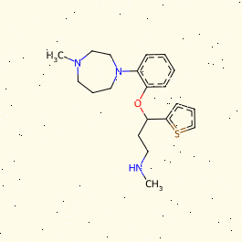 CNCCC(Oc1ccccc1N1CCCN(C)CC1)c1cccs1